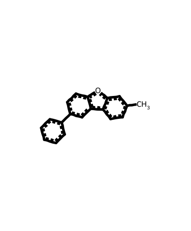 Cc1ccc2c(c1)oc1ccc(-c3ccccc3)cc12